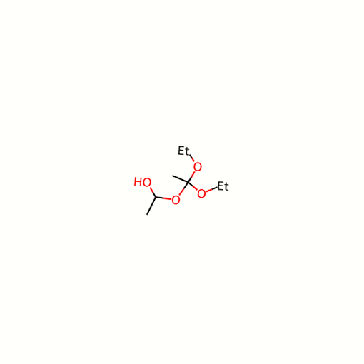 CCOC(C)(OCC)OC(C)O